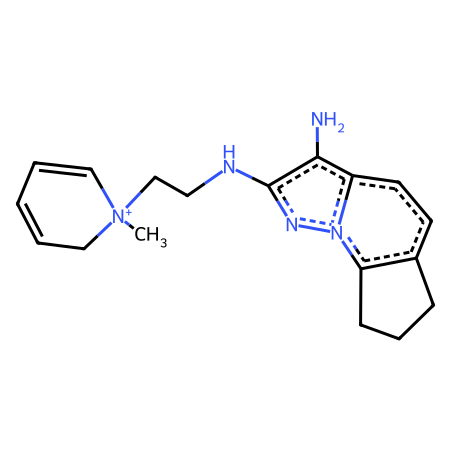 C[N+]1(CCNc2nn3c4c(ccc3c2N)CCC4)C=CC=CC1